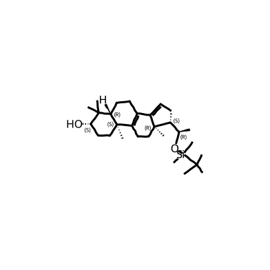 C[C@@H](O[Si](C)(C)C(C)(C)C)[C@H]1CC=C2C3=C(CC[C@@]21C)[C@@]1(C)CC[C@H](O)C(C)(C)[C@@H]1CC3